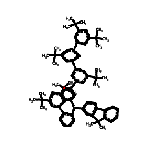 CC(C)(C)c1cc(-c2cccc(N(c3ccc4c(c3)C(C)(C)c3ccccc3-4)c3ccccc3-c3cc(C(C)(C)C)cc(C(C)(C)C)c3)c2)cc(-c2cc(-c3cc(C(C)(C)C)cc(C(C)(C)C)c3)cc(C(C)(C)C)c2)c1